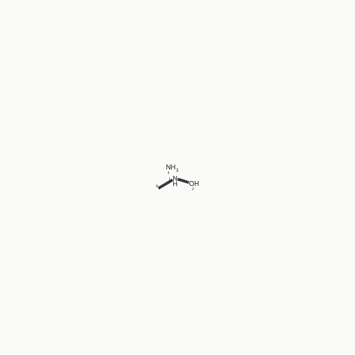 CNO.N